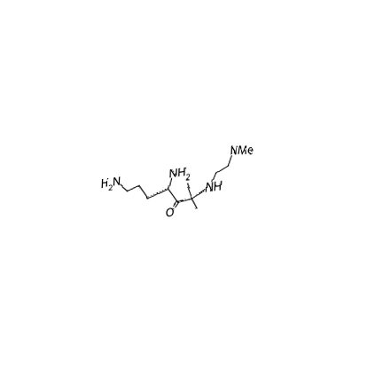 CNCCNC(C)(C)C(=O)C(N)CCCN